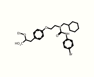 CCOC(Cc1ccc(OCCN(CC2CCCCC2)C(=O)Nc2ccc(Br)cc2)cc1)C(=O)O